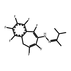 CC(=NNC1=C(F)c2c(F)c(F)c(F)c(F)c2CC(F)=C1F)C(C)C